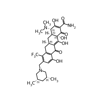 C[C@@H]1C[C@H](C)CN(Cc2cc(O)c3c(c2C(F)(F)F)C[C@H]2C[C@H]4[C@H](N(C)C)C(O)=C(C(N)=O)C(=O)[C@@]4(O)C(O)=C2C3=O)C1